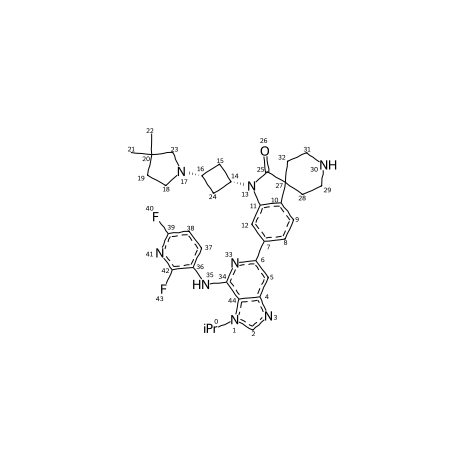 CC(C)n1cnc2cc(-c3ccc4c(c3)N([C@H]3C[C@@H](N5CCC(C)(C)C5)C3)C(=O)C43CCNCC3)nc(Nc3ccc(F)nc3F)c21